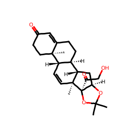 CC1(C)O[C@@H]2C[C@H]3[C@@H]4CCC5=CC(=O)CC[C@]5(C)[C@H]4C=C[C@]3(C)[C@]2(C(=O)CO)O1